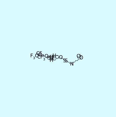 CN(CCCCC1COC(C)(C)OC1)CCCSSCCOc1ccc2c(c1)CC[C@@H]1[C@@H]2CC[C@]2(C)[C@@H](OCCCOC(C(F)(F)F)(C(F)(F)F)C(F)(F)F)CC[C@@H]12